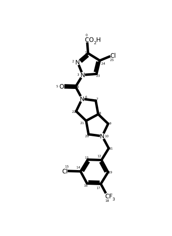 O=C(O)c1nn(C(=O)N2CC3CN(Cc4cc(Cl)cc(C(F)(F)F)c4)CC3C2)cc1Cl